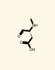 CN[C@@H]([C]=O)CC(=O)O